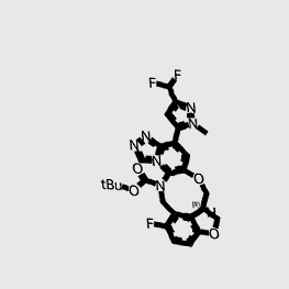 Cn1nc(C(F)F)cc1-c1cc2c(n3cnnc13)N(C(=O)OC(C)(C)C)Cc1c(F)ccc3c1[C@H](CO3)CO2